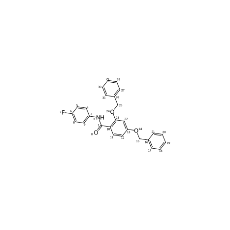 O=C(Nc1ccc(F)cc1)c1ccc(OCc2ccccc2)cc1OCc1ccccc1